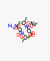 NS(=O)(=O)c1ccc2c(c1)C(=O)C(=O)N2Cc1cc(F)cc(F)c1.O=C1C(=O)N(Cc2cc(F)cc(F)c2)c2ccc(S(=O)(=O)[O-])cc21.[Na+]